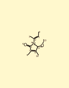 C/C=C(\C)N1C(=O)C(C)=C(C)C1OI